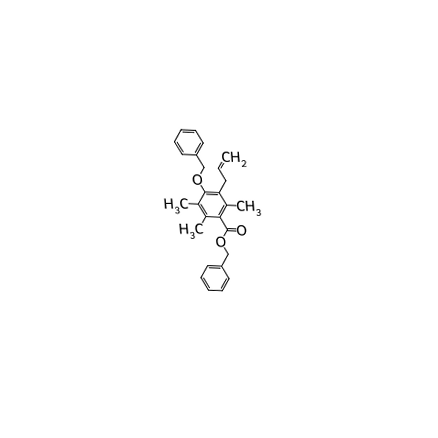 C=CCc1c(C)c(C(=O)OCc2ccccc2)c(C)c(C)c1OCc1ccccc1